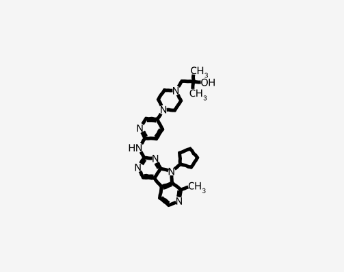 Cc1nccc2c3cnc(Nc4ccc(N5CCN(CC(C)(C)O)CC5)cn4)nc3n(C3CCCC3)c12